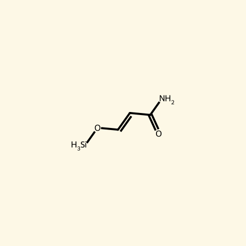 NC(=O)C=CO[SiH3]